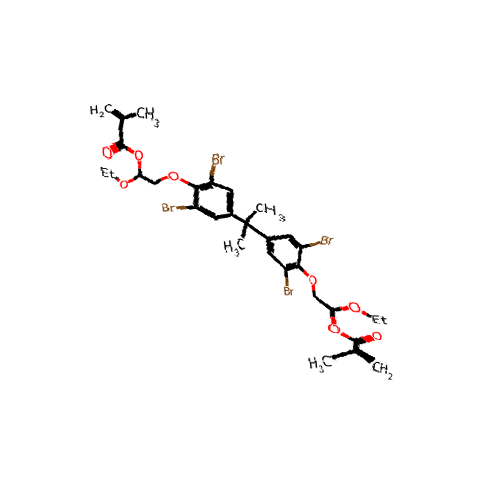 C=C(C)C(=O)OC(COc1c(Br)cc(C(C)(C)c2cc(Br)c(OCC(OCC)OC(=O)C(=C)C)c(Br)c2)cc1Br)OCC